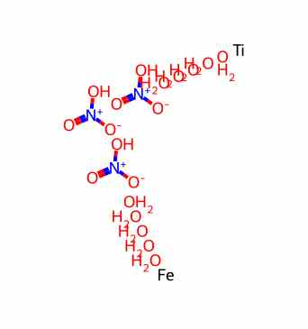 O.O.O.O.O.O.O.O.O.O.O=[N+]([O-])O.O=[N+]([O-])O.O=[N+]([O-])O.[Fe].[Ti]